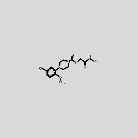 CNC(=O)COC(=O)N1CCN(c2cc(Cl)ccc2OC)CC1